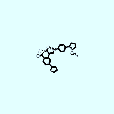 CN1CCCC1c1ccc(N/C=C2\C(=O)NC(=O)c3ccc(-c4cccs4)cc32)cc1